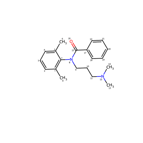 Cc1cccc(C)c1N(CCCN(C)C)C(=O)c1ccccc1